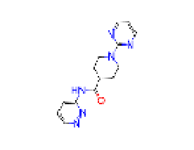 O=C(Nc1cccnn1)C1CCN(c2ncccn2)CC1